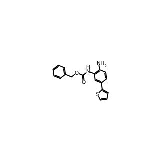 Nc1ccc(-c2cccs2)cc1NC(=O)OCc1ccccc1